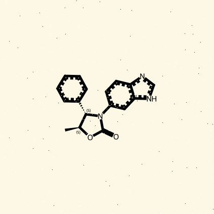 C[C@@H]1OC(=O)N(c2ccc3nc[nH]c3c2)[C@H]1c1ccccc1